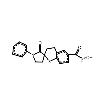 O=C(NO)c1ccc2c(c1)CCC1(CCN(c3ccccc3)C1=O)S2